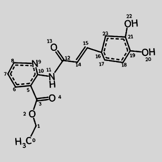 CCOC(=O)c1cccnc1NC(=O)C=Cc1ccc(O)c(O)c1